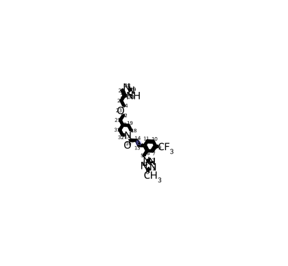 Cc1nnn(Cc2cc(C(F)(F)F)ccc2/C=C/C(=O)N2CCC(CCOCCc3cnn[nH]3)CC2)n1